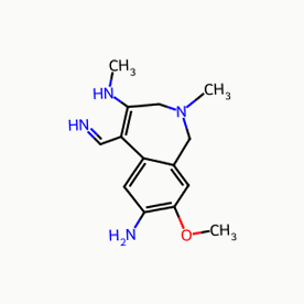 CNC1=C(C=N)c2cc(N)c(OC)cc2CN(C)C1